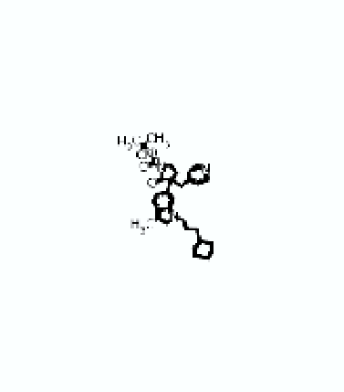 Cc1cn(CCCc2ccccc2)c2cc(C3(Cc4ccncc4)CCN(C(=O)OC(C)(C)C)C3=O)ccc12